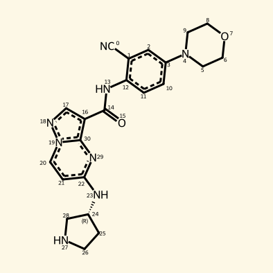 N#Cc1cc(N2CCOCC2)ccc1NC(=O)c1cnn2ccc(N[C@@H]3CCNC3)nc12